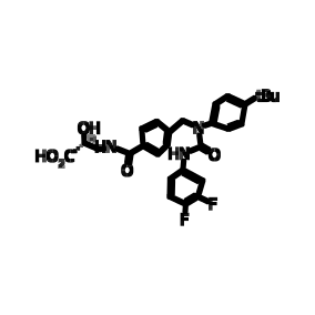 CC(C)(C)c1ccc(N(Cc2ccc(C(=O)NC[C@@H](O)C(=O)O)cc2)C(=O)Nc2ccc(F)c(F)c2)cc1